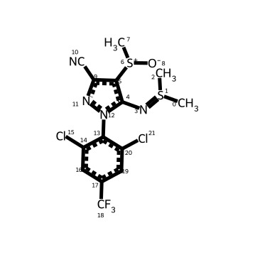 CS(C)=Nc1c([S+](C)[O-])c(C#N)nn1-c1c(Cl)cc(C(F)(F)F)cc1Cl